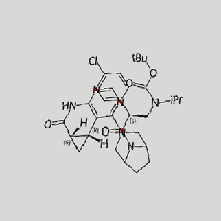 CC(C)N(C[C@@H](C(=O)N1C2CCC1CN(c1ncnc3c1[C@@H]1C[C@@H]1C(=O)N3)C2)c1ccc(Cl)cc1)C(=O)OC(C)(C)C